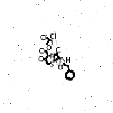 O=C(Cc1ccccc1)NC1C(=O)N2C(C(=O)OCC(Cl)(Cl)Cl)C(=O)CS[C@H]12